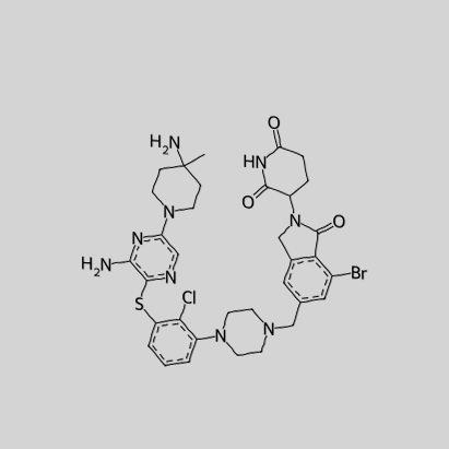 CC1(N)CCN(c2cnc(Sc3cccc(N4CCN(Cc5cc(Br)c6c(c5)CN(C5CCC(=O)NC5=O)C6=O)CC4)c3Cl)c(N)n2)CC1